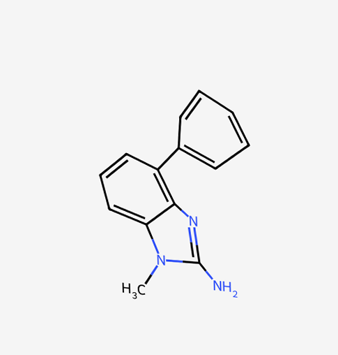 Cn1c(N)nc2c(-c3ccccc3)cccc21